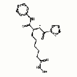 O=C(CCCCC[C@H](NC(=O)c1cccs1)C(=O)Nc1ccccc1)NO